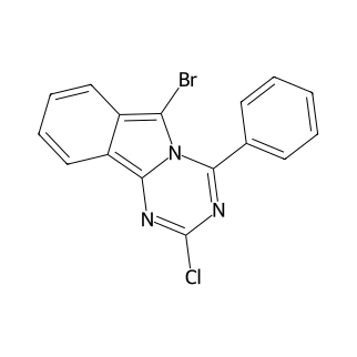 Clc1nc(-c2ccccc2)n2c(Br)c3ccccc3c2n1